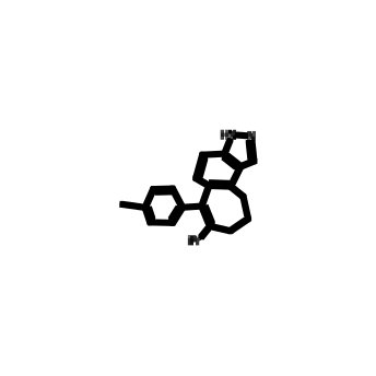 Cc1ccc(C2=C(C(C)C)CCCc3c2ccc2[nH]ncc32)cc1